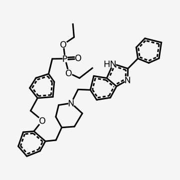 CCOP(=O)(Cc1ccc(COc2ccccc2CC2CCN(Cc3ccc4nc(-c5ccccc5)[nH]c4c3)CC2)cc1)OCC